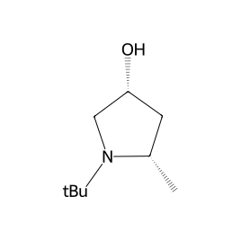 C[C@H]1C[C@@H](O)CN1C(C)(C)C